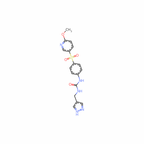 COc1ccc(S(=O)(=O)c2ccc(NC(=O)NCc3cn[nH]c3)cc2)cn1